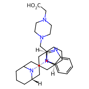 O=C(O)CN1CCN(Cc2nc3ccccc3n2[C@H]2CC3CCC[C@@H](C2)N3[C@H]2C[C@@H]3CCC[C@@H](C3)C2)CC1